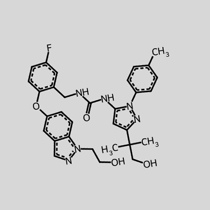 Cc1ccc(-n2nc(C(C)(C)CO)cc2NC(=O)NCc2cc(F)ccc2Oc2ccc3c(cnn3CCO)c2)cc1